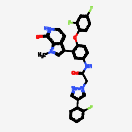 Cn1cc(-c2cc(NC(=O)Cn3cc(-c4ccccc4F)cn3)ccc2Oc2ccc(F)cc2F)c2cc[nH]c(=O)c21